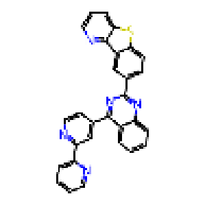 c1ccc(-c2cc(-c3nc(-c4ccc5sc6cccnc6c5c4)nc4ccccc34)ccn2)nc1